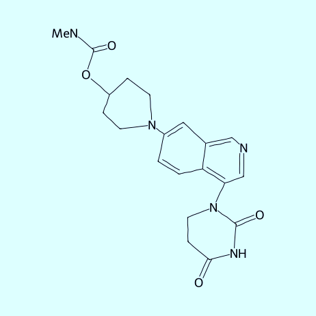 CNC(=O)OC1CCN(c2ccc3c(N4CCC(=O)NC4=O)cncc3c2)CC1